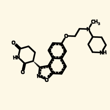 CN(CCOc1ccc2c(ccc3onc([C@H]4CCC(=O)NC4=O)c32)c1)C1CCNCC1